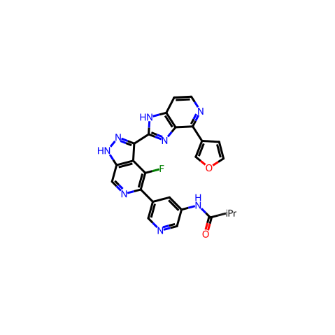 CC(C)C(=O)Nc1cncc(-c2ncc3[nH]nc(-c4nc5c(-c6ccoc6)nccc5[nH]4)c3c2F)c1